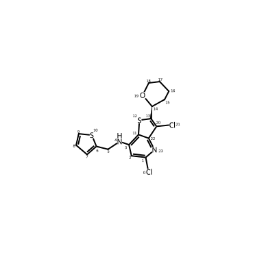 Clc1cc(NCc2cccs2)c2sc([C@@H]3CCCCO3)c(Cl)c2n1